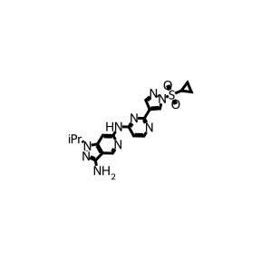 CC(C)n1nc(N)c2cnc(Nc3ccnc(-c4cnn(S(=O)(=O)C5CC5)c4)n3)cc21